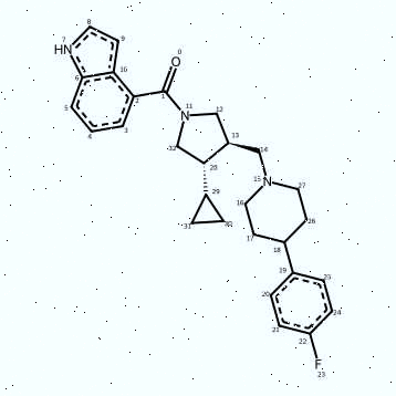 O=C(c1cccc2[nH]ccc12)N1C[C@@H](CN2CCC(c3ccc(F)cc3)CC2)[C@H](C2CC2)C1